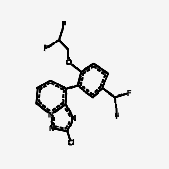 FC(F)COc1ccc(C(F)F)cc1-c1cccn2nc(Cl)nc12